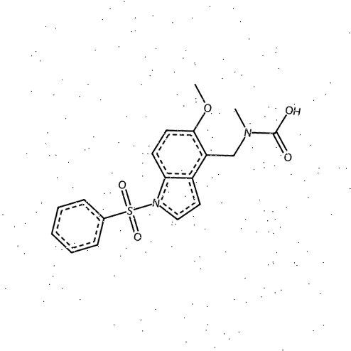 COc1ccc2c(ccn2S(=O)(=O)c2ccccc2)c1CN(C)C(=O)O